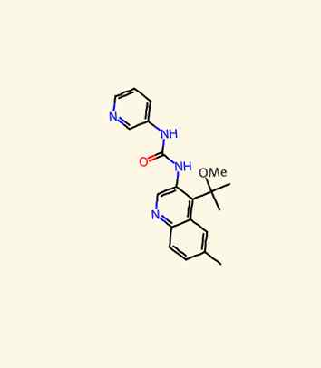 COC(C)(C)c1c(NC(=O)Nc2cccnc2)cnc2ccc(C)cc12